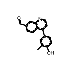 Cc1cc(-c2ccnc3cc(C=O)ccc23)ccc1O